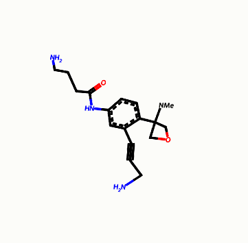 CNC1(c2ccc(NC(=O)CCCN)cc2C#CCN)COC1